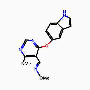 CNc1ncnc(Oc2ccc3[nH]ccc3c2)c1C=NOC